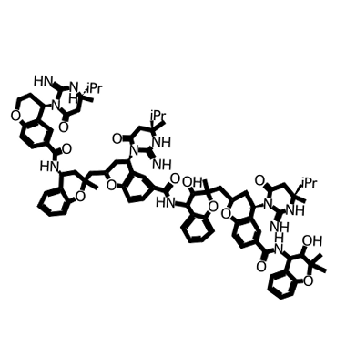 CC(C)[C@]1(C)CC(=O)N([C@@H]2CCOc3ccc(C(=O)N[C@H]4CC(C)(CC5C[C@@H](N6C(=N)N[C@](C)(C(C)C)CC6=O)c6cc(C(=O)NC7c8ccccc8OC(C)(CC8C[C@@H](N9C(=N)N[C@](C)(C(C)C)CC9=O)c9cc(C(=O)NC%10c%11ccccc%11OC(C)(C)C%10O)ccc9O8)C7O)ccc6O5)Oc5ccccc54)cc32)C(=N)N1